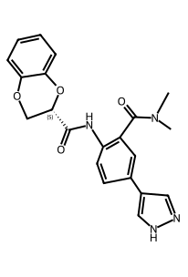 CN(C)C(=O)c1cc(-c2cn[nH]c2)ccc1NC(=O)[C@@H]1COc2ccccc2O1